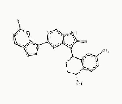 Cc1ccc2c(c1)C(n1c(=O)[nH]c3cnc(-n4cnc5ccc(F)cc54)nc31)CC[C@H]2O